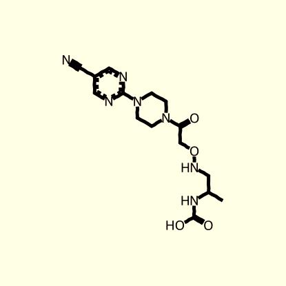 CC(CNOCC(=O)N1CCN(c2ncc(C#N)cn2)CC1)NC(=O)O